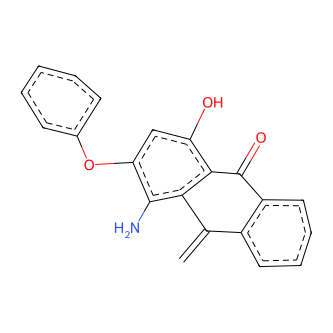 C=C1c2ccccc2C(=O)c2c(O)cc(Oc3ccccc3)c(N)c21